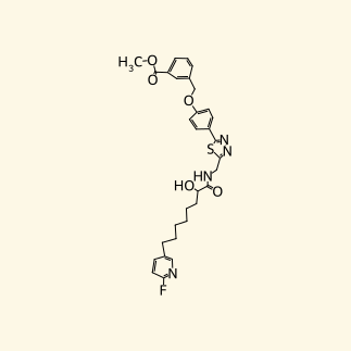 COC(=O)c1cccc(COc2ccc(-c3nnc(CNC(=O)C(O)CCCCCCc4ccc(F)nc4)s3)cc2)c1